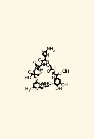 CC1=NC2=CN(CO)NN2C(SCC2(C(=O)O)CS[C@@H]3C(NC(=O)C(=NOCC(=O)NNC(=O)c4ccc(O)c(O)c4)c4csc(N)n4)C(=O)N3C2)=C1.Cl